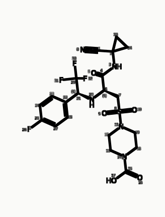 N#CC1(NC(=O)[C@@H](CS(=O)(=O)N2CCN(C(=O)O)CC2)N[C@@H](c2ccc(F)cc2)C(F)(F)F)CC1